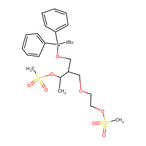 CC(OS(C)(=O)=O)C(COCCOS(C)(=O)=O)CO[Si](c1ccccc1)(c1ccccc1)C(C)(C)C